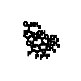 Cc1cnc(C(N)=O)cc1N[C@H](O)C1O[C@@](C)(C(F)(F)F)[C@@H](C)[C@H]1c1ccc(F)c(F)c1OC(F)F